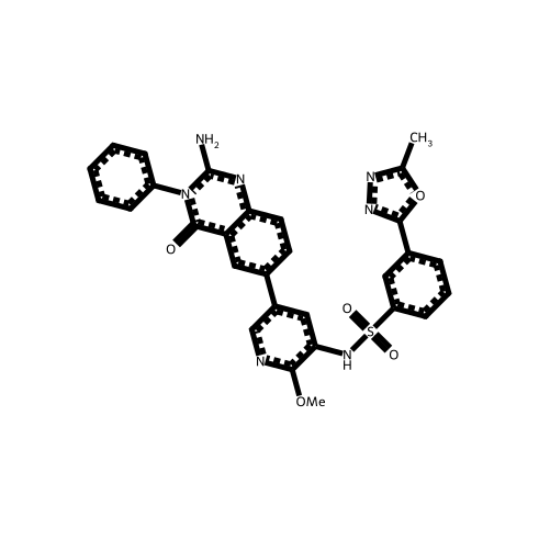 COc1ncc(-c2ccc3nc(N)n(-c4ccccc4)c(=O)c3c2)cc1NS(=O)(=O)c1cccc(-c2nnc(C)o2)c1